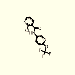 O=C(Nc1ccc(OC(F)(F)F)nc1)c1cccnc1Cl